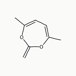 C=C1OC(C)=CC=C(C)O1